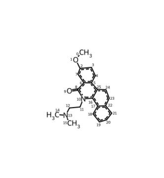 COc1ccc2c(c1)c(=O)n(CCN(C)C)c1c3ccccc3ccc21